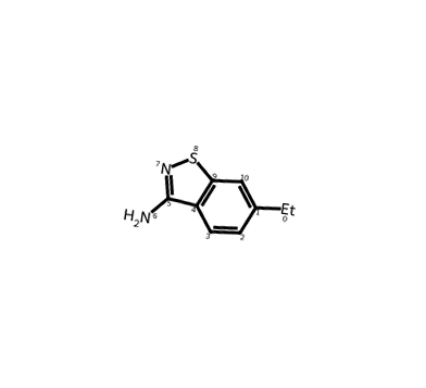 CCc1ccc2c(N)nsc2c1